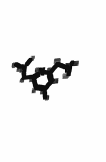 Cc1cc(CN(C)C)nc(CN(C)C)c1